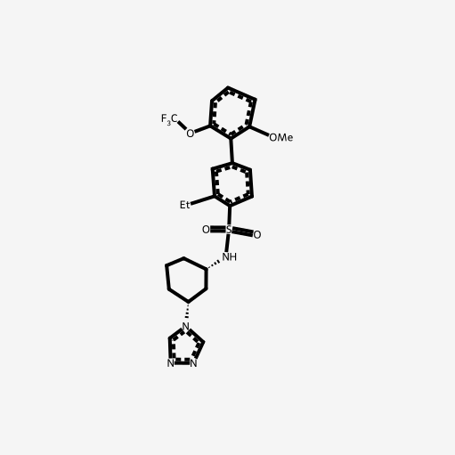 CCc1cc(-c2c(OC)cccc2OC(F)(F)F)ccc1S(=O)(=O)N[C@H]1CCC[C@@H](n2cnnc2)C1